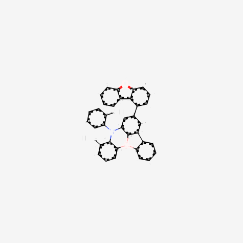 Cc1ccccc1N1c2cc(-c3cccc4oc5ccccc5c34)cc3c2B(c2ccccc2-3)c2cccc(C)c21